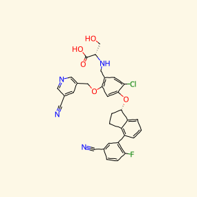 N#Cc1cncc(COc2cc(O[C@H]3CCc4c(-c5cc(C#N)ccc5F)cccc43)c(Cl)cc2CN[C@@H](CO)C(=O)O)c1